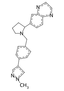 Cn1cc(-c2ccc(CN3CCCC3c3ccc4nccnc4c3)cc2)cn1